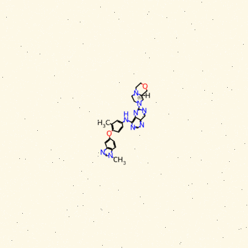 Cc1cc(Nc2ncnc3cnc(N4CCN5CCOC[C@@H]5C4)nc23)ccc1Oc1ccc2c(c1)ncn2C